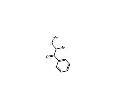 CCCOC(Br)C(=O)c1ccccc1